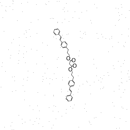 O=C(CC(=O)OCCCc1ccc(/C=C/c2ccccc2)cc1)OCCCc1ccc(/C=C/c2ccccc2)cc1